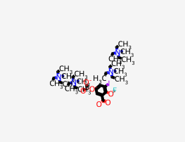 CC[N+](C)(CC)CC.CC[N+](C)(CC)CC.CC[N+](C)(CC)CC.CC[N+](C)(CC)CC.O=C([O-])c1cccc(I)c1OF.[O-]B([O-])[O-]